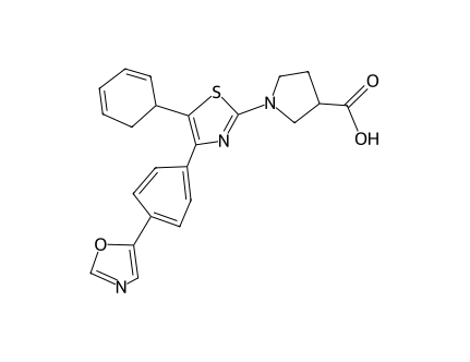 O=C(O)C1CCN(c2nc(-c3ccc(-c4cnco4)cc3)c(C3C=CC=CC3)s2)C1